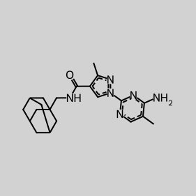 Cc1cnc(-n2cc(C(=O)NCC34CC5CC(CC(C5)C3)C4)c(C)n2)nc1N